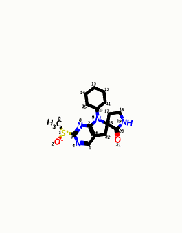 C[S+]([O-])c1ncc2c(n1)N(C1CCCCC1)C1(CCNC1=O)C2